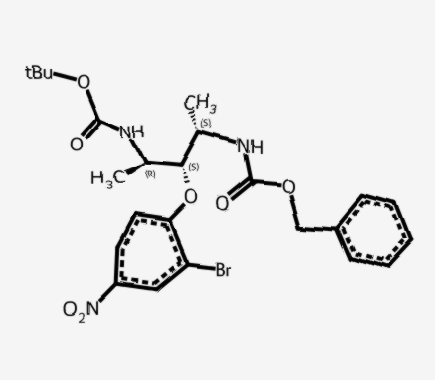 C[C@H](NC(=O)OCc1ccccc1)[C@H](Oc1ccc([N+](=O)[O-])cc1Br)[C@@H](C)NC(=O)OC(C)(C)C